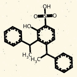 CC(c1ccccc1)c1ccc(S(=O)(=O)O)c(O)c1C(C)c1ccccc1